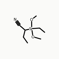 CCC(C#N)[Si](CC)(OC)OC